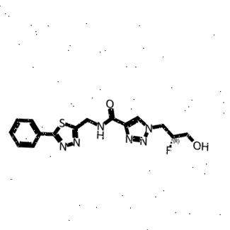 O=C(NCc1nnc(-c2ccccc2)s1)c1cn(C[C@@H](F)CO)nn1